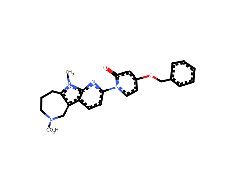 Cn1c2c(c3ccc(-n4ccc(OCc5ccccc5)cc4=O)nc31)CN(C(=O)O)CCC2